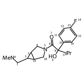 CNCC1C2CN(C(=O)C(O)(c3ccc(F)cc3)C(C)C)CC12